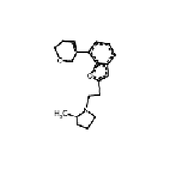 C[C@@H]1CCCN1CCc1cc2cccc(C3=CCCOC3)c2o1